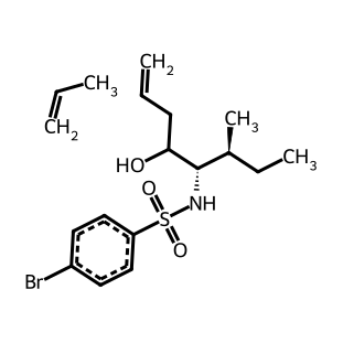 C=CC.C=CCC(O)[C@@H](NS(=O)(=O)c1ccc(Br)cc1)[C@@H](C)CC